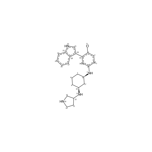 Clc1cnc(N[C@@H]2CCC[C@H](NC3CCNC3)C2)nc1-c1c[nH]c2ccccc12